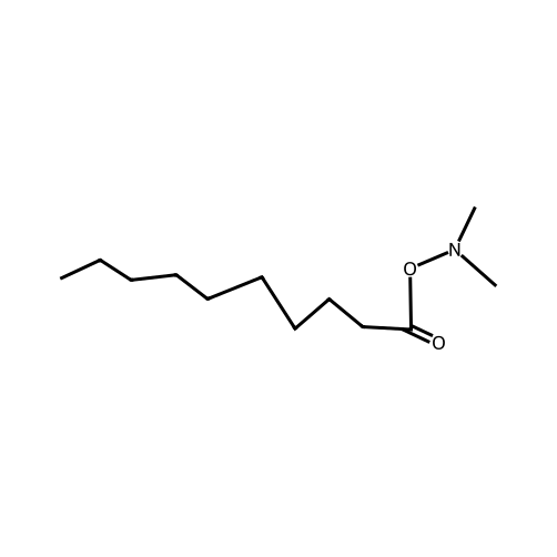 CCCCCCCCCC(=O)ON(C)C